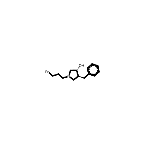 CC(C)CCCN1C[C@H](Cc2ccccc2)[C@@H](O)C1